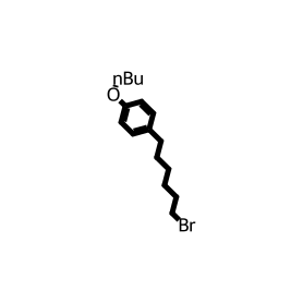 CCCCOc1ccc(CCCCCCBr)cc1